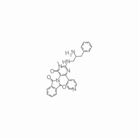 Cn1c(NCC(N)Cc2ccccc2)nc(-c2ccncc2)c(N2C(=O)c3ccccc3C2=O)c1=O